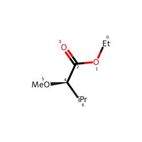 CCOC(=O)[C@H](OC)C(C)C